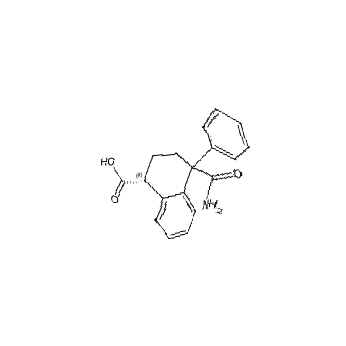 NC(=O)C1(c2ccccc2)CC[C@@H](C(=O)O)c2ccccc21